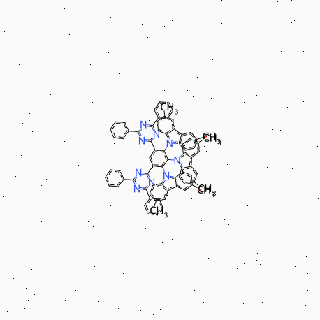 Cc1ccc2c(c1)c1cc(C)ccc1n2-c1c(-c2nc(-c3ccccc3)nc(-c3ccccc3)n2)cc(-c2nc(-c3ccccc3)nc(-c3ccccc3)n2)c(-n2c3ccc(C)cc3c3cc(C)ccc32)c1-n1c2ccc(C)cc2c2cc(C)ccc21